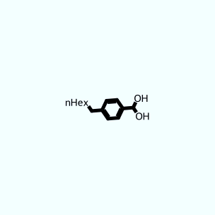 CCCCCCCc1ccc(C(O)O)cc1